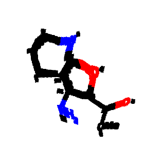 COC(=O)c1oc2ncccc2c1N